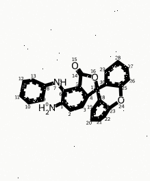 Nc1ccc2c(c1Nc1ccccc1)C(=O)OC21c2ccccc2Oc2ccccc21